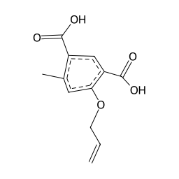 C=CCOc1cc(C)c(C(=O)O)cc1C(=O)O